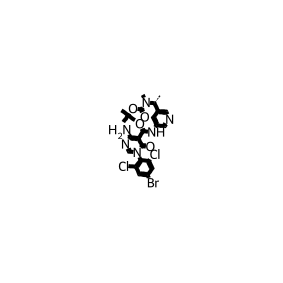 C[C@H](c1cncc(NC(=O)c2c(N)ncn(-c3c(Cl)cc(Br)cc3Cl)c2=O)c1)N(C)C(=O)OC(C)(C)C